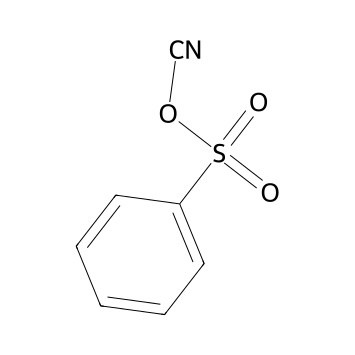 N#COS(=O)(=O)c1ccccc1